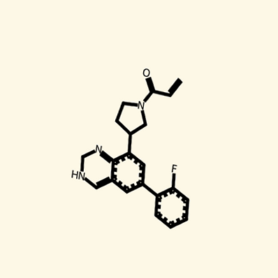 C=CC(=O)N1CCC(c2cc(-c3ccccc3F)cc3c2=NCNC=3)C1